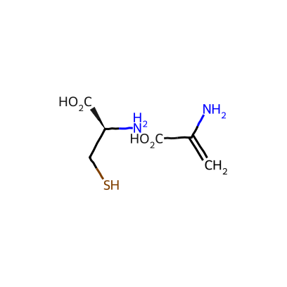 C=C(N)C(=O)O.N[C@@H](CS)C(=O)O